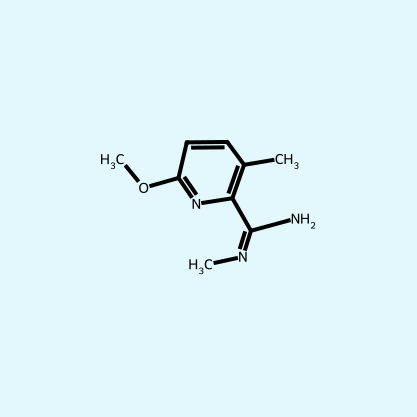 C/N=C(/N)c1nc(OC)ccc1C